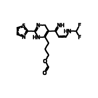 N=C(/C=C\NC(F)F)C1=C(CCCOC=O)NC(c2nccs2)=NC1